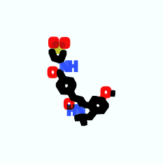 COc1ccc2c(c1)C(=CC(=O)c1ccc(C(=O)NC3CCS(=O)(=O)C3)cc1)NC(C)(C)C2